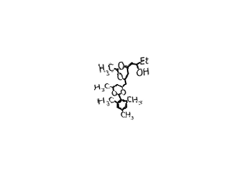 CCC(O)CC1CC(CC2CC(C)OC(c3c(C)cc(C)cc3C)O2)OC(C)O1